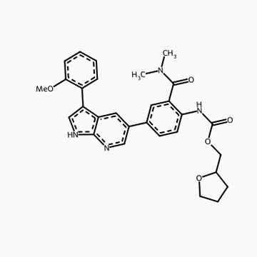 COc1ccccc1-c1c[nH]c2ncc(-c3ccc(NC(=O)OCC4CCCO4)c(C(=O)N(C)C)c3)cc12